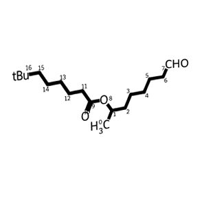 CC(CCCCCC=O)OC(=O)CCCCCC(C)(C)C